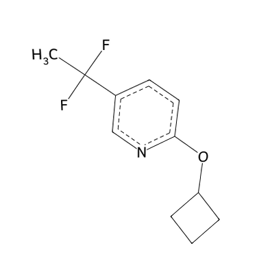 CC(F)(F)c1ccc(OC2CCC2)nc1